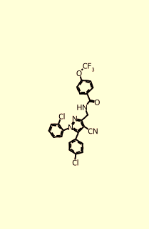 N#Cc1c(CNC(=O)c2ccc(OC(F)(F)F)cc2)nn(-c2ccccc2Cl)c1-c1ccc(Cl)cc1